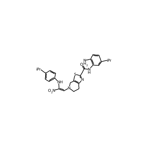 CC(C)c1ccc(NC(=CN2CCc3nc(C(=O)Nc4cc(C(C)C)ccc4N)sc3C2)[N+](=O)[O-])cc1